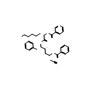 CCCCCC[C@@H](NC(=O)c1cccnc1)C(=O)N[C@@H](Cc1ccccc1)[C@@H](O)[C@H](O)[C@@H](CC#N)NC(=O)c1ccccc1